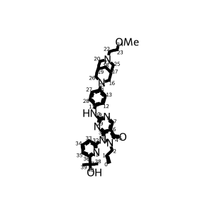 C=CCn1c(=O)c2cnc(Nc3ccc(N4CC5CC(CN(CCOC)C5)C4)cc3)nc2n1-c1cccc(C(C)(C)O)n1